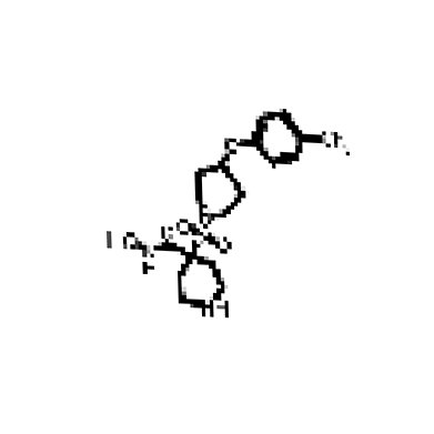 O=C(NO)C1(S(=O)(=O)N2CCC(Oc3ccc(C(F)(F)F)cc3)CC2)CCNCC1